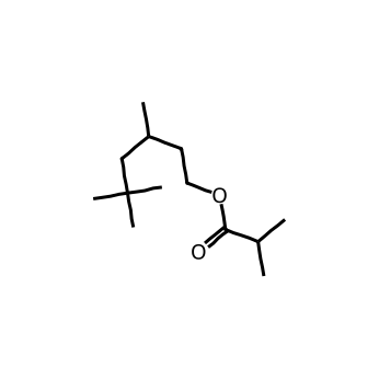 CC(CCOC(=O)C(C)C)CC(C)(C)C